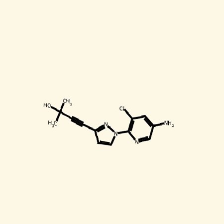 CC(C)(O)C#Cc1ccn(-c2ncc(N)cc2Cl)n1